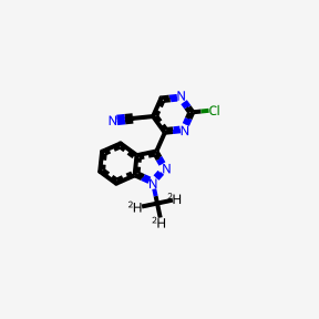 [2H]C([2H])([2H])n1nc(-c2nc(Cl)ncc2C#N)c2ccccc21